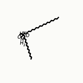 CCCCCCCCCCCCCCCCCC(=O)NC(CC)(CCCCCCCCCCCCCC)C(N)=O